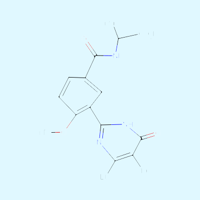 CCCOc1ccc(C(=O)NC(C(=O)O)C(C)CC)cc1-c1nc(CC)c(CC)c(=O)[nH]1